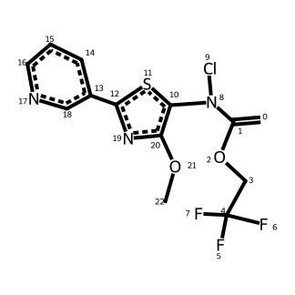 C=C(OCC(F)(F)F)N(Cl)c1sc(-c2cccnc2)nc1OC